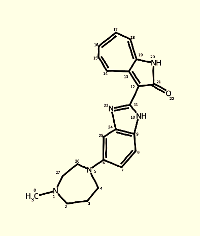 CN1CCCN(c2ccc3[nH]c(-c4c5cccccc-5[nH]c4=O)nc3c2)CC1